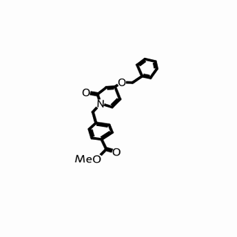 COC(=O)c1ccc(Cn2ccc(OCc3ccccc3)cc2=O)cc1